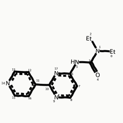 CCN(CC)C(=O)Nc1ccnc(-c2ccncc2)n1